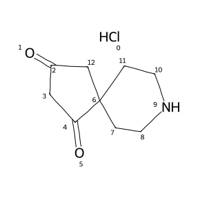 Cl.O=C1CC(=O)C2(CCNCC2)C1